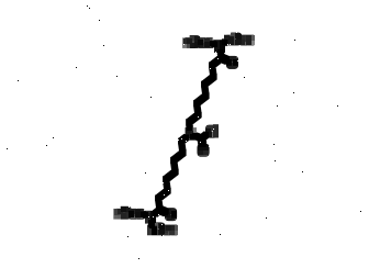 CCCCCCCCCCN(CCCCCCCCCC)C(=O)CCCCCCCN(CCCCCCCC(=O)N(CCCCCCCCCC)CCCCCCCCCC)C(=O)Cl